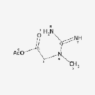 CC(=O)OC(=O)CN(C)C(=N)N